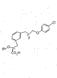 CC(C)O[C@@H](Cc1cccc(C[C@@H](F)COc2ccc(Cl)cc2)c1)C(=O)O